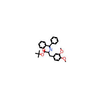 COc1ccc(CC(N=C(c2ccccc2)c2ccccc2)C(=O)OC(C)(C)C)cc1OC